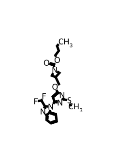 CCCCOC(=O)N1CC(COc2cc(-n3c(C(F)F)nc4ccccc43)nc(SC)n2)C1